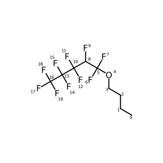 CCCCOC(F)(F)C(F)C(F)(F)C(F)(F)C(F)(F)F